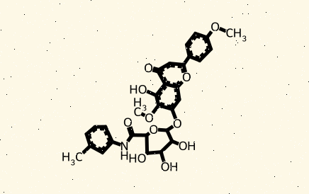 COc1ccc(-c2cc(=O)c3c(O)c(OC)c(OC4OC(C(=O)Nc5cccc(C)c5)C(O)C(O)C4O)cc3o2)cc1